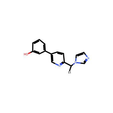 CCC(c1ccc(-c2cccc(O)c2)cn1)n1ccnc1